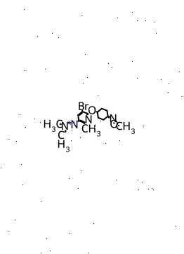 CCN(C)/C=N/c1cc(Br)c(OC2CCC(=NOC)CC2)nc1C